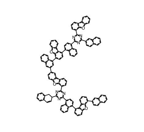 C1=CC(c2nc(-c3ccc(-c4cccc5oc6c(-c7ccc8ccccc8c7)cccc6c45)c4ccccc34)nc(-c3cccc4c3oc3ccc(-c5cc(-c6ccc(-c7ccc(-c8nc(-c9ccc%10ccccc%10c9)nc(-c9cccc%10c9oc9ccccc9%10)n8)c8ccccc78)c7c6oc6ccccc67)c6ccccc6c5)cc34)n2)Cc2ccccc21